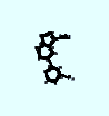 CCCCn1ncc2ncc(-c3cccc(F)c3)cc21